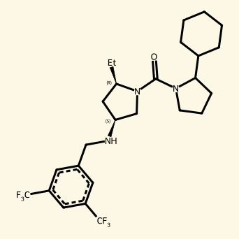 CC[C@@H]1C[C@H](NCc2cc(C(F)(F)F)cc(C(F)(F)F)c2)CN1C(=O)N1CCCC1C1CCCCC1